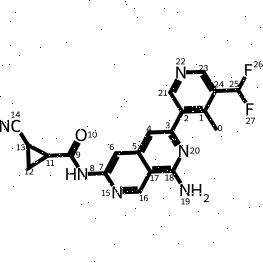 Cc1c(-c2cc3cc(NC(=O)C4CC4C#N)ncc3c(N)n2)cncc1C(F)F